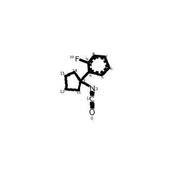 O=C=NC1(c2ccccc2F)CCCC1